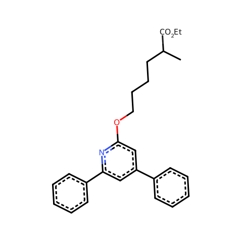 CCOC(=O)C(C)CCCCOc1cc(-c2ccccc2)cc(-c2ccccc2)n1